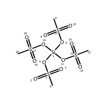 CS(=O)(=O)O[Si](OS(C)(=O)=O)(OS(C)(=O)=O)OS(C)(=O)=O